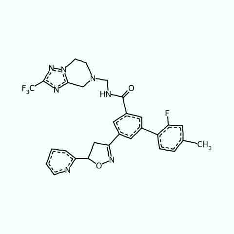 Cc1ccc(-c2cc(C(=O)NCN3CCn4nc(C(F)(F)F)nc4C3)cc(C3=NOC(c4ccccn4)C3)c2)c(F)c1